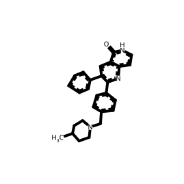 CC1CCN(Cc2ccc(-c3nc4cc[nH]c(=O)c4cc3-c3ccccc3)cc2)CC1